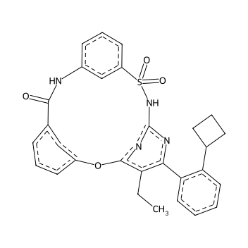 CCc1c2nc(nc1-c1ccccc1C1CCC1)NS(=O)(=O)c1cccc(c1)NC(=O)c1cccc(c1)O2